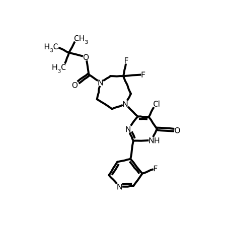 CC(C)(C)OC(=O)N1CCN(c2nc(-c3ccncc3F)[nH]c(=O)c2Cl)CC(F)(F)C1